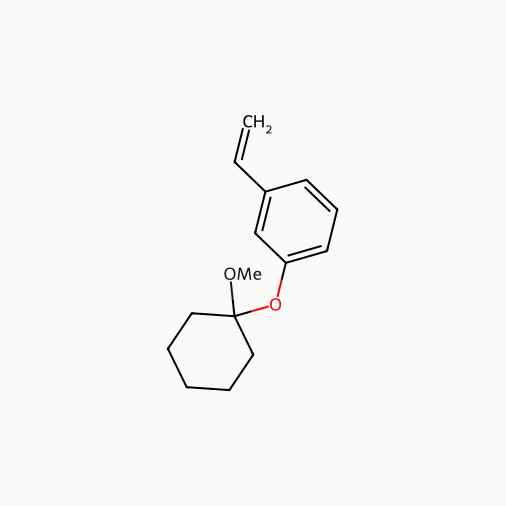 C=Cc1cccc(OC2(OC)CCCCC2)c1